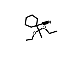 CCOC(C)(OCC)C1(C#N)CCCCC1